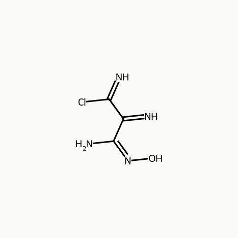 N=C(Cl)C(=N)/C(N)=N\O